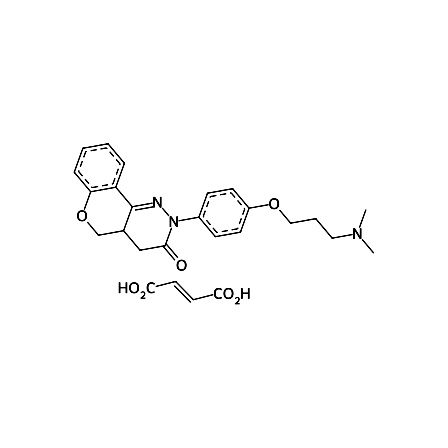 CN(C)CCCOc1ccc(N2N=C3c4ccccc4OCC3CC2=O)cc1.O=C(O)C=CC(=O)O